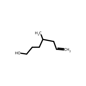 C=CCC(C)CCCO